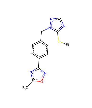 CCSc1ncnn1Cc1ccc(-c2noc(C(F)(F)F)n2)cc1